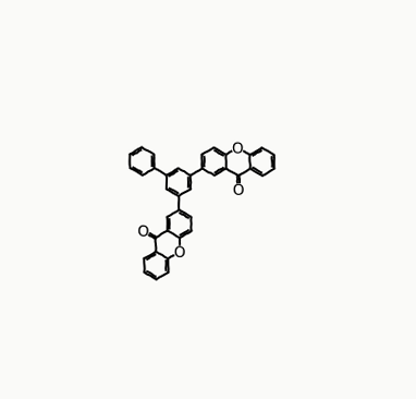 O=c1c2ccccc2oc2ccc(-c3cc(-c4ccccc4)cc(-c4ccc5oc6ccccc6c(=O)c5c4)c3)cc12